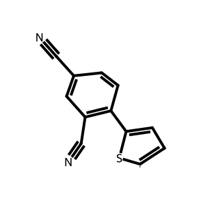 N#Cc1ccc(-c2cc[c]s2)c(C#N)c1